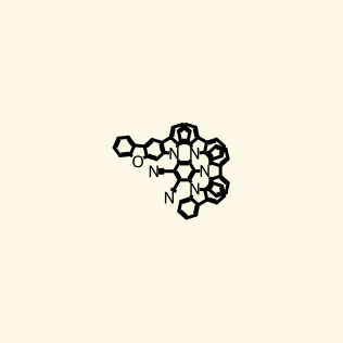 N#Cc1c(C#N)c(-n2c3ccccc3c3cc4c(cc32)oc2ccccc24)c(-n2c3ccccc3c3ccccc32)c(-n2c3ccccc3c3ccccc32)c1-n1c2ccccc2c2ccccc21